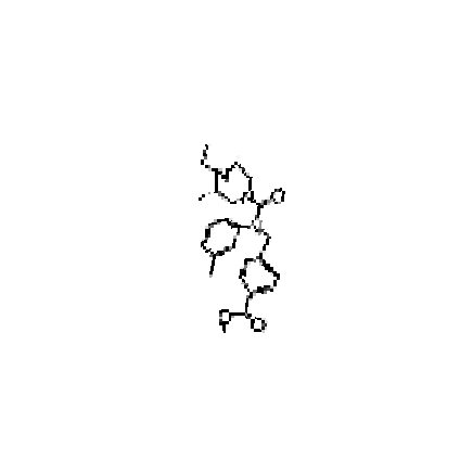 CCN1[C@H](C)CN(C(=O)N(Cc2ccc(C(=O)OC)cc2)c2cccc(C)c2)C[C@@H]1C